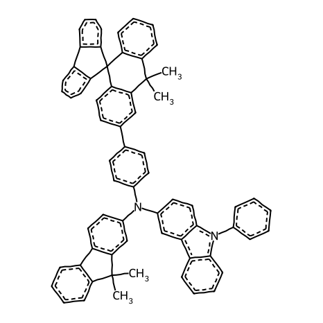 CC1(C)c2ccccc2-c2ccc(N(c3ccc(-c4ccc5c(c4)C(C)(C)c4ccccc4C54c5ccccc5-c5ccccc54)cc3)c3ccc4c(c3)c3ccccc3n4-c3ccccc3)cc21